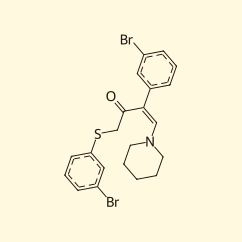 O=C(CSc1cccc(Br)c1)C(=CN1CCCCC1)c1cccc(Br)c1